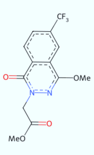 COC(=O)Cn1nc(OC)c2cc(C(F)(F)F)ccc2c1=O